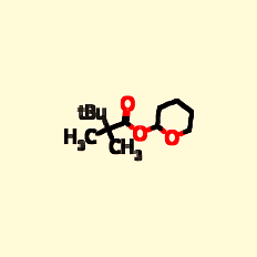 CC(C)(C)C(C)(C)C(=O)OC1CCCCO1